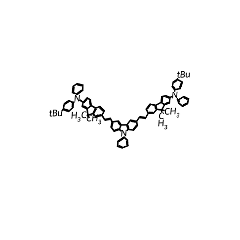 CC(C)(C)c1ccc(N(c2ccccc2)c2ccc3c(c2)C(C)(C)c2cc(/C=C/c4ccc5c(c4)c4cc(/C=C/c6ccc7c(c6)C(C)(C)c6cc(N(c8ccccc8)c8ccc(C(C)(C)C)cc8)ccc6-7)ccc4n5-c4ccccc4)ccc2-3)cc1